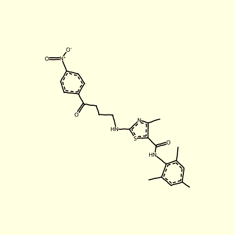 Cc1cc(C)c(NC(=O)c2sc(NCCCC(=O)c3ccc([N+](=O)[O-])cc3)nc2C)c(C)c1